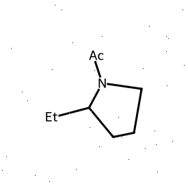 CCC1CCCN1C(C)=O